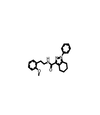 COc1ccccc1CCNC(=O)c1nn(-c2ccccc2)c2c1CCCC2